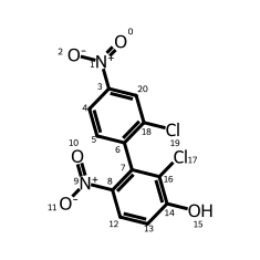 O=[N+]([O-])c1ccc(-c2c([N+](=O)[O-])ccc(O)c2Cl)c(Cl)c1